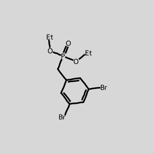 CCOP(=O)(Cc1cc(Br)cc(Br)c1)OCC